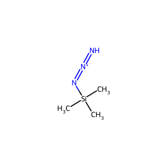 C[Si](C)(C)N=[N+]=N